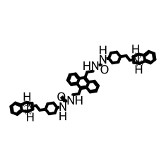 O=C(NCCc1c2ccccc2c(CCNC(=O)NC2CCC(CCN3[C@@H]4CC[C@H]3c3ccccc34)CC2)c2ccccc12)NC1CCC(CCN2[C@@H]3CC[C@H]2c2ccccc23)CC1